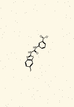 O=C(Nc1cccc([N+](=O)[O-])c1)Nc1nc2ccc(F)cc2s1